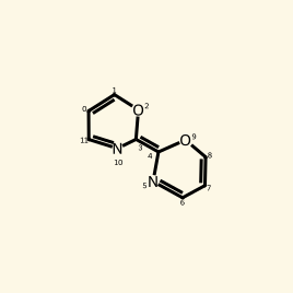 C1=COC(=C2N=CC=CO2)N=C1